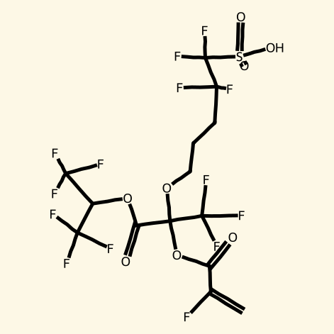 C=C(F)C(=O)OC(OCCCC(F)(F)C(F)(F)S(=O)(=O)O)(C(=O)OC(C(F)(F)F)C(F)(F)F)C(F)(F)F